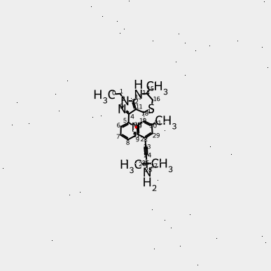 CCn1nc(-c2ccccn2)c2c1N[C@@H](C)CS[C@@H]2c1ccc(C#CC(C)(C)N)cc1C